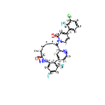 CC1CCCC(n2ccc(-c3cccc(Cl)c3F)cc2=O)c2cc(ccn2)-c2c(F)cc(F)cc2NC1=O